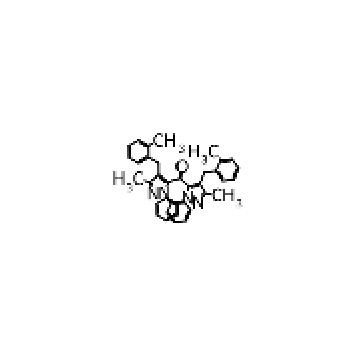 Cc1ccccc1Cc1c(C)nn(-c2ccccc2)c1C(=O)c1c(Cc2ccccc2C)c(C)nn1-c1ccccc1